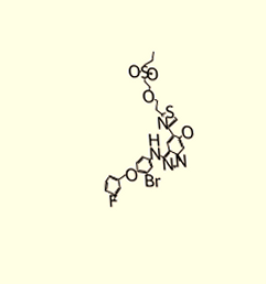 CCCS(=O)(=O)CCOCCc1nc(-c2cc3c(Nc4ccc(OCc5cccc(F)c5)c(Br)c4)ncnc3cc2OC)cs1